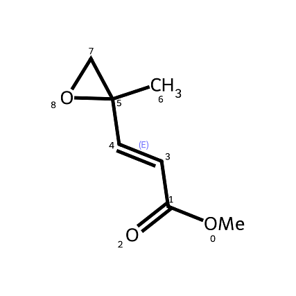 COC(=O)/C=C/C1(C)CO1